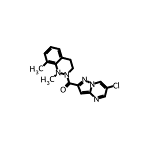 Cc1cccc2c1N(C)N(C(=O)c1cc3ncc(Cl)cn3n1)CC2